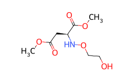 COC(=O)C[C@H](NOCCO)C(=O)OC